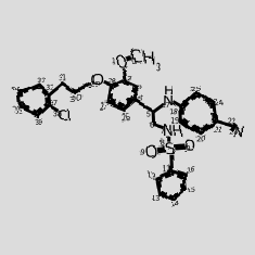 COc1cc(C(CNS(=O)(=O)c2ccccc2)Nc2ccc(C#N)cc2)ccc1OCCc1ccccc1Cl